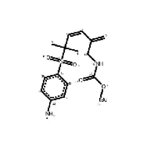 C=C(/C=C\C(C)(C)S(=O)(=O)c1ccc(N)cc1)CNC(=O)OC(C)(C)C